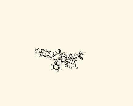 CCCCC1(CCCC)CN(c2ccccc2)c2cc(SC)c(CNC(C)(C)C(=O)O)cc2S(=O)(=O)C1